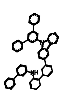 C1=CC(C2=C(Nc3cccc(-c4ccccc4)c3)C=CCC2)CC(c2ccc3c(c2)c2ccccc2n3-c2cc(-c3ccccc3)cc(-c3ccccc3)c2)=C1